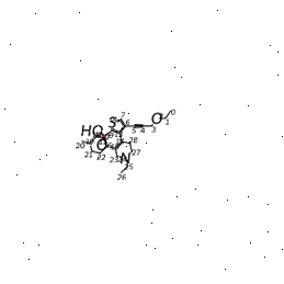 CCOCC#Cc1csc(C(=O)O)c1C1=C(C2CCC(C)CC2)CN(CC)CC1